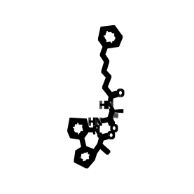 CC1C(=O)N(NC(=O)[C@H](C)NC(=O)CCCCCc2ccccc2)c2ccccc2-c2ccccc21